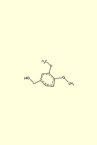 COc1ccc(CO)cc1OC